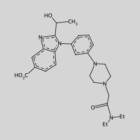 CCN(CC)C(=O)CN1CCN(c2cccc(-n3c(C(C)O)nc4cc(C(=O)O)ccc43)c2)CC1